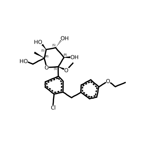 CCOc1ccc(Cc2cc([C@]3(OC)O[C@](C)(CO)[C@@H](O)[C@H](O)[C@H]3O)ccc2Cl)cc1